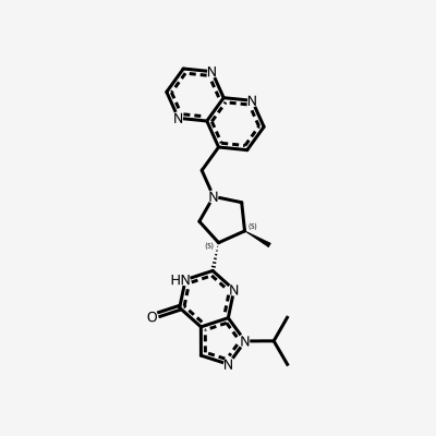 CC(C)n1ncc2c(=O)[nH]c([C@@H]3CN(Cc4ccnc5nccnc45)C[C@H]3C)nc21